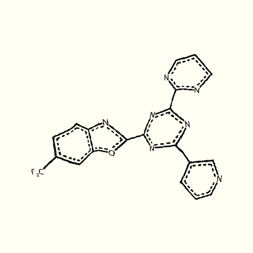 FC(F)(F)c1ccc2nc(-c3nc(-c4cccnc4)nc(-c4ncccn4)n3)oc2c1